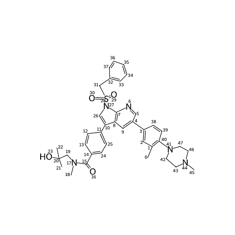 Cc1cc(-c2cnc3c(c2)c(-c2ccc(C(=O)N(C)CC(C)(C)O)cc2)cn3S(=O)(=O)Cc2ccccc2)ccc1N1CCN(C)CC1